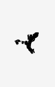 CC(C)c1ccc(C(c2ccc(C(C)C)cc2)[C@H]2C[C@@H](OC(=O)Nc3ccccc3)CN2)cc1